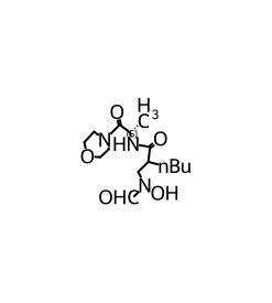 CCCCC(CN(O)C=O)C(=O)N[C@@H](C)C(=O)N1CCOCC1